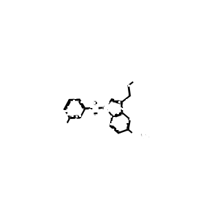 COc1ccc2c(c1)c(CCC=O)cn2S(=O)(=O)c1cccc(F)c1